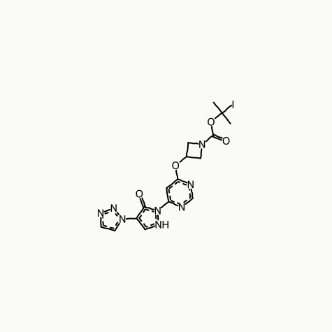 CC(C)(I)OC(=O)N1CC(Oc2cc(-n3[nH]cc(-n4ccnn4)c3=O)ncn2)C1